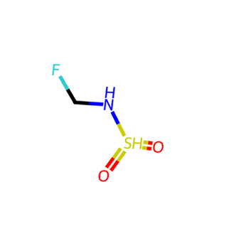 O=[SH](=O)NCF